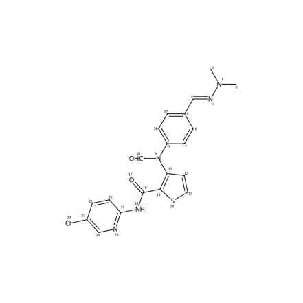 CN(C)N=Cc1ccc(N(C=O)c2ccsc2C(=O)Nc2ccc(Cl)cn2)cc1